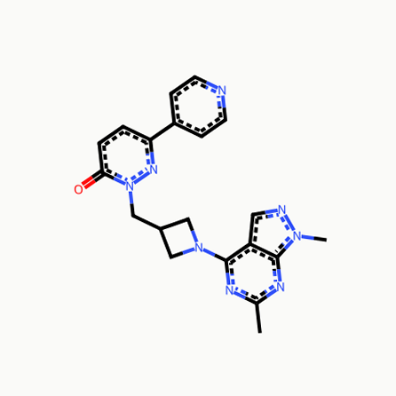 Cc1nc(N2CC(Cn3nc(-c4ccncc4)ccc3=O)C2)c2cnn(C)c2n1